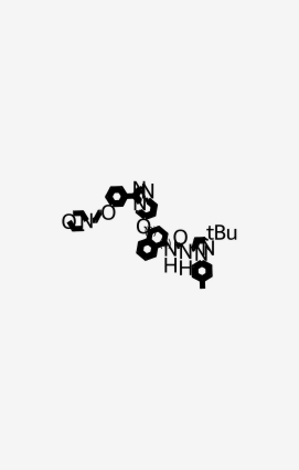 Cc1ccc(-n2nc(C(C)(C)C)cc2NC(=O)N[C@H]2CC[C@@H](Oc3ccc4nnc(-c5cccc(OCCN6CCOCC6)c5)n4c3)c3ccccc32)cc1